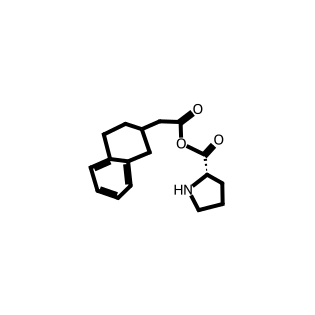 O=C(CC1CCc2ccccc2C1)OC(=O)[C@@H]1CCCN1